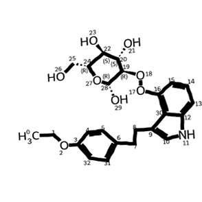 CCOc1ccc(CCc2c[nH]c3cccc(OO[C@@H]4[C@@H](O)[C@H](O)[C@@H](CO)O[C@H]4O)c23)cc1